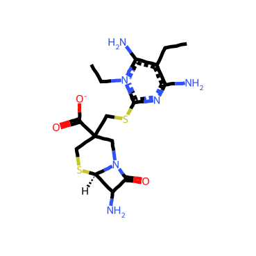 CCc1c(N)nc(SCC2(C(=O)[O-])CS[C@@H]3C(N)C(=O)N3C2)[n+](CC)c1N